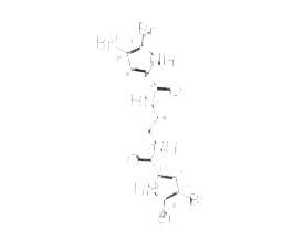 O=C(NCCNC(=O)c1cc(Br)c(Br)[nH]1)c1cc(Br)c(Br)[nH]1